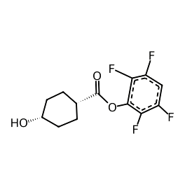 O=C(Oc1c(F)c(F)cc(F)c1F)[C@H]1CC[C@@H](O)CC1